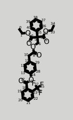 CCOC(=O)C(COC(=O)Cc1ccc(OC(=O)c2ccccc2C(F)(F)F)cc1)(C(=O)OCC)c1ccccc1